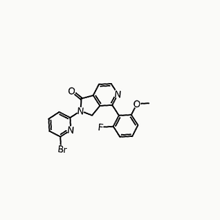 COc1cccc(F)c1-c1nccc2c1CN(c1cccc(Br)n1)C2=O